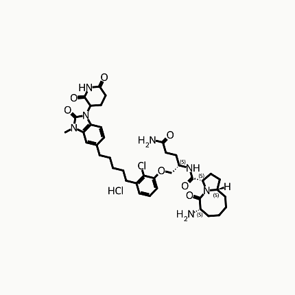 Cl.Cn1c(=O)n(C2CCC(=O)NC2=O)c2ccc(CCCCCc3cccc(OC[C@H](CCC(N)=O)NC(=O)[C@@H]4CC[C@@H]5CCCC[C@H](N)C(=O)N54)c3Cl)cc21